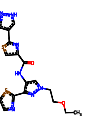 CCOCCn1cc(NC(=O)c2csc(-c3cn[nH]c3)n2)c(-c2nccs2)n1